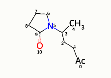 CC(=O)CCC(C)N1CCCC1=O